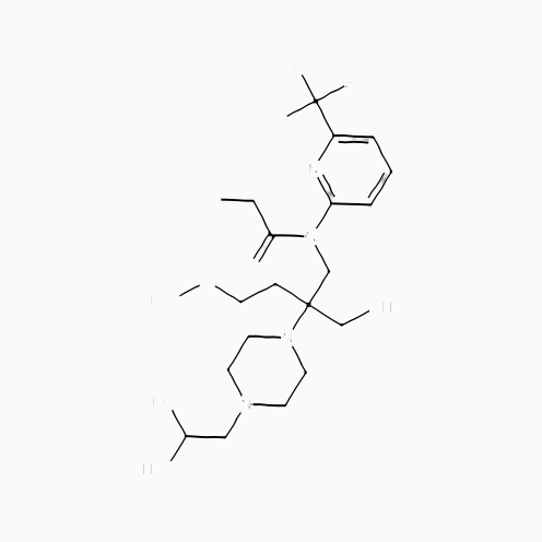 CCC(=O)N(CC(CC)(CCOC)N1CCN(CC(C)C)CC1)c1cccc(C(F)(F)F)n1